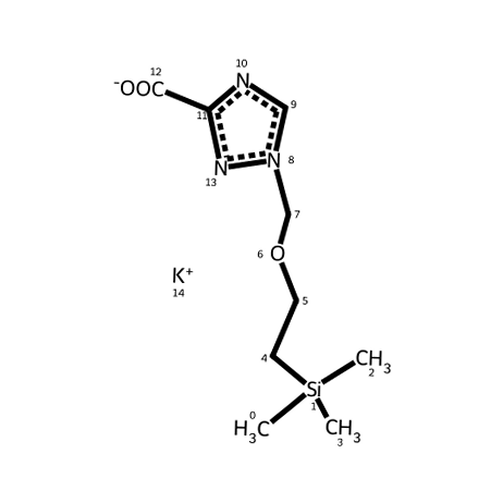 C[Si](C)(C)CCOCn1cnc(C(=O)[O-])n1.[K+]